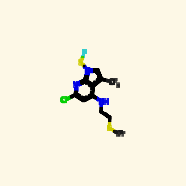 CC(C)SCCNc1cc(Cl)nc2c1c(C(F)(F)F)cn2SF